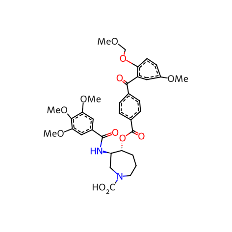 COCOc1ccc(OC)cc1C(=O)c1ccc(C(=O)O[C@@H]2CCCN(C(=O)O)C[C@H]2NC(=O)c2cc(OC)c(OC)c(OC)c2)cc1